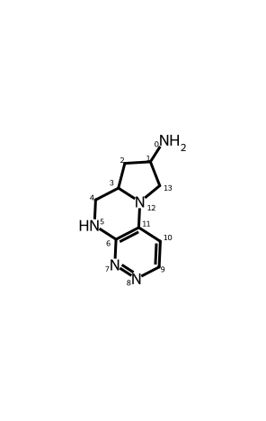 NC1CC2CNc3nnccc3N2C1